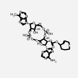 Cc1ncnc2c1ncn2[C@@H]1O[C@@H]2COP(=O)(O)O[C@H]3[C@@H](OC(=O)OC4/C=C/CCCCC4)[C@H](n4cnc5c(N)ncnc54)O[C@@H]3COP(=O)(O)O[C@@H]1[C@@H]2O